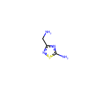 NCc1nsc(N)n1